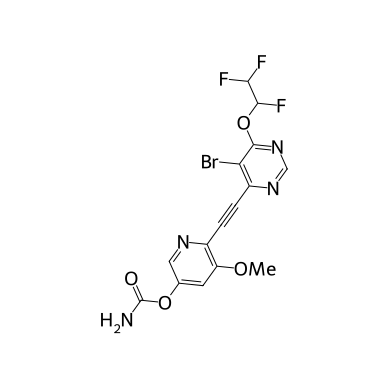 COc1cc(OC(N)=O)cnc1C#Cc1ncnc(OC(F)C(F)F)c1Br